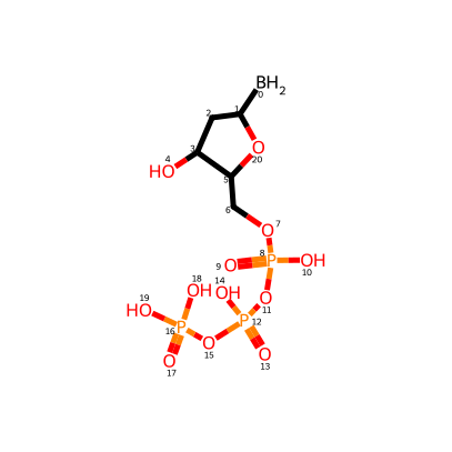 BC1CC(O)C(COP(=O)(O)OP(=O)(O)OP(=O)(O)O)O1